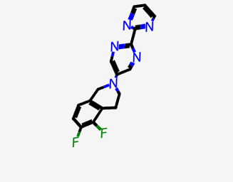 Fc1ccc2c(c1F)CCN(c1cnc(-c3ncccn3)nc1)C2